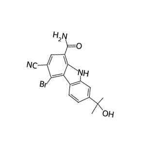 CC(C)(O)c1ccc2c(c1)[nH]c1c(C(N)=O)cc(C#N)c(Br)c12